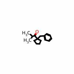 CC(C)C(=O)C1(Cc2ccccc2)CCCC1